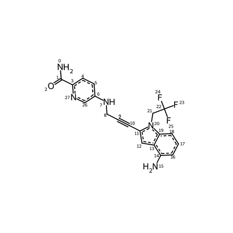 NC(=O)c1ccc(NCC#Cc2cc3c(N)cccc3n2CC(F)(F)F)cn1